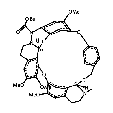 COc1cc2c3cc1Oc1ccc(cc1)CC[C@H]1c4cc(c(OC)cc4CCN1C)Oc1c(OC)c(OC)cc4c1[C@H](C3)N(CC4)N2C(=O)OCC(C)C